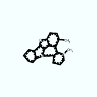 Cc1ccc2oc3c4ccccc4n4c5ccc[n+](C)c5c1c2c34